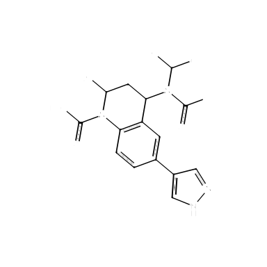 CC(=O)N1c2ccc(-c3cn[nH]c3)cc2C(N(C(=O)O)C(C)C)CC1C